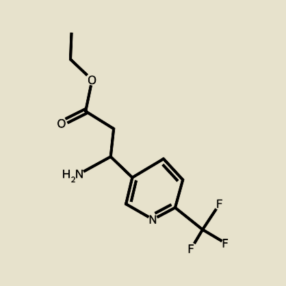 CCOC(=O)CC(N)c1ccc(C(F)(F)F)nc1